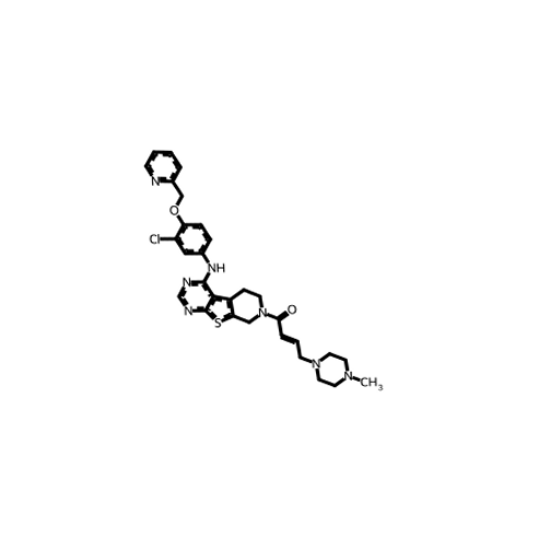 CN1CCN(C/C=C/C(=O)N2CCc3c(sc4ncnc(Nc5ccc(OCc6ccccn6)c(Cl)c5)c34)C2)CC1